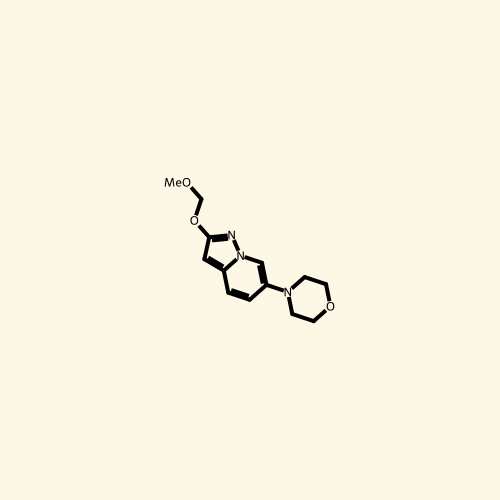 COCOc1cc2ccc(N3CCOCC3)cn2n1